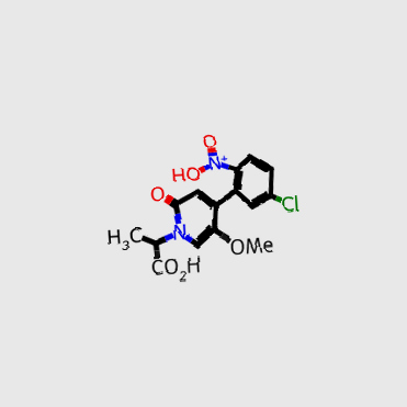 COc1cn(C(C)C(=O)O)c(=O)cc1-c1cc(Cl)ccc1[N+](=O)O